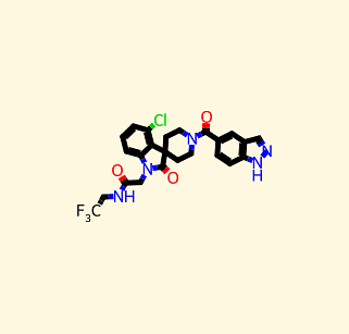 O=C(CN1C(=O)C2(CCN(C(=O)c3ccc4[nH]ncc4c3)CC2)c2c(Cl)cccc21)NCC(F)(F)F